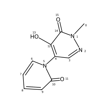 Cn1ncc(-n2ccccc2=O)c(O)c1=O